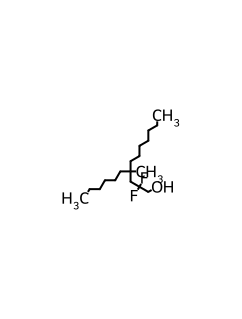 CCCCCCCC(C)(CCCCCC)CC(F)(F)CO